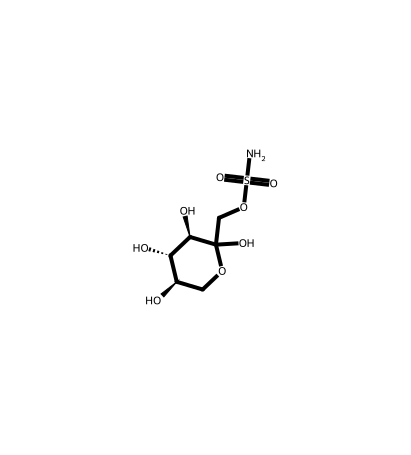 NS(=O)(=O)OCC1(O)OC[C@@H](O)[C@H](O)[C@H]1O